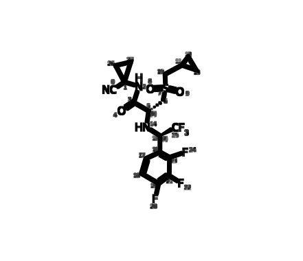 N#CC1(NC(=O)[C@H](CS(=O)(=O)CC2CC2)N[C@H](c2ccc(F)c(F)c2F)C(F)(F)F)CC1